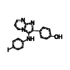 Oc1ccc(-c2nc3ncccn3c2Nc2ccc(I)cc2)cc1